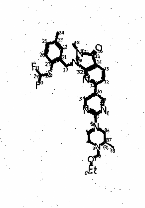 CCOCN1CCN(c2ncc(-c3ccc4c(=O)n(C)n(Cc5cc(C)ccc5SC(F)F)c4n3)cn2)C[C@H]1C